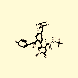 C[C@H](N[S@@+]([O-])C(C)(C)C)c1cc(=O)n(C)cc1-c1cc(CS(=O)(=O)C(F)(F)F)ccc1C(=O)c1ccc(F)cc1